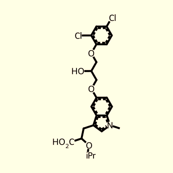 CC(C)OC(Cc1cn(C)c2ccc(OCC(O)COc3ccc(Cl)cc3Cl)cc12)C(=O)O